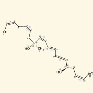 CC/C=C\C/C=C\C[C@](C)(O)\C=C/C=C/C=C/[C@H](O)C/C=C\CCC